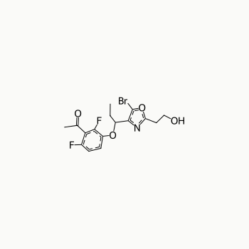 CCC(Oc1ccc(F)c(C(C)=O)c1F)c1nc(CCO)oc1Br